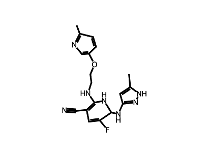 Cc1ccc(OCCNC2=C(C#N)C=C(F)C(Nc3cc(C)[nH]n3)N2)cn1